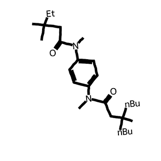 CCCCC(C)(CCCC)CC(=O)N(C)c1ccc(N(C)C(=O)CC(C)(C)CC)cc1